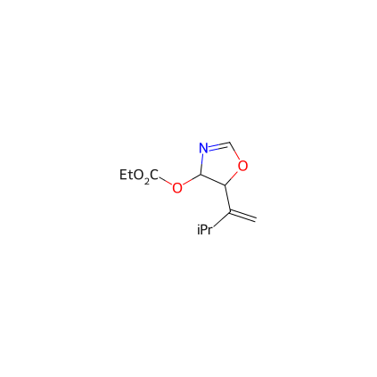 C=C(C(C)C)C1OC=NC1OC(=O)OCC